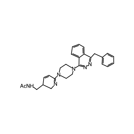 CC(=O)NCC1C=CC(N2CCN(c3nnc(Cc4ccccc4)c4ccccc34)CC2)=NC1